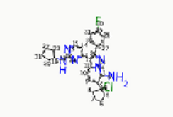 Nc1c(C2(Cl)CCCC2)ccc2c(-c3ccnc(NC4CCCC4)n3)c(-c3ccc(F)cc3)nn12